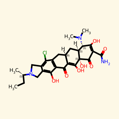 CC[C@H](C)N1Cc2c(O)c3c(c(Cl)c2C1)C[C@H]1C[C@H]2[C@H](N(C)C)C(O)=C(C(N)=O)C(=O)[C@@]2(O)C(O)=C1C3=O